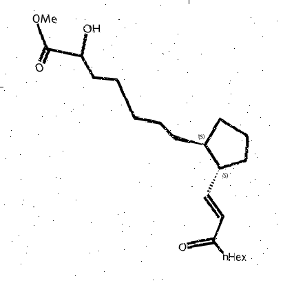 CCCCCCC(=O)C=C[C@H]1CCC[C@@H]1CCCCCC(O)C(=O)OC